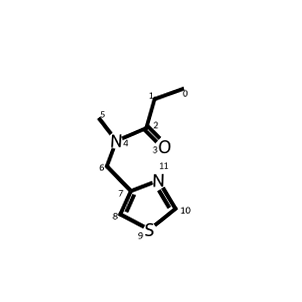 CCC(=O)N(C)Cc1cscn1